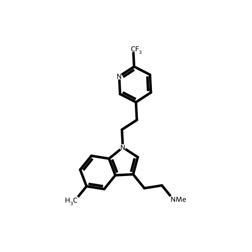 CNCCc1cn(CCc2ccc(C(F)(F)F)nc2)c2ccc(C)cc12